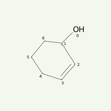 O[C]1C=CCCC1